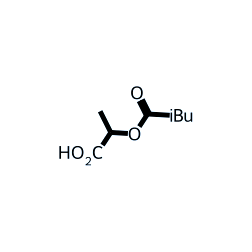 CCC(C)C(=O)OC(C)C(=O)O